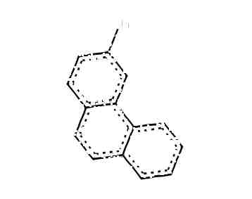 CC(C)c1ccc2ccc3ccccc3c2c1